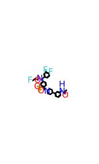 CC(=O)Nc1cccc(C2CCN(Cc3ccc(/C(=N\OCCF)c4ccc(F)c(F)c4)cc3S(C)(=O)=O)CC2)c1